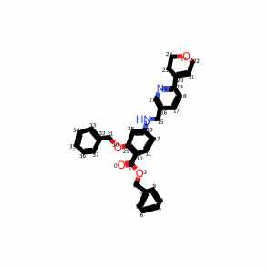 O=C(OCc1ccccc1)c1ccc(NCc2ccc(C3=CCOCC3)nc2)cc1OCc1ccccc1